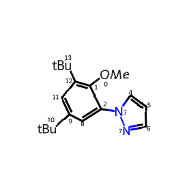 COc1c(-n2cccn2)cc(C(C)(C)C)cc1C(C)(C)C